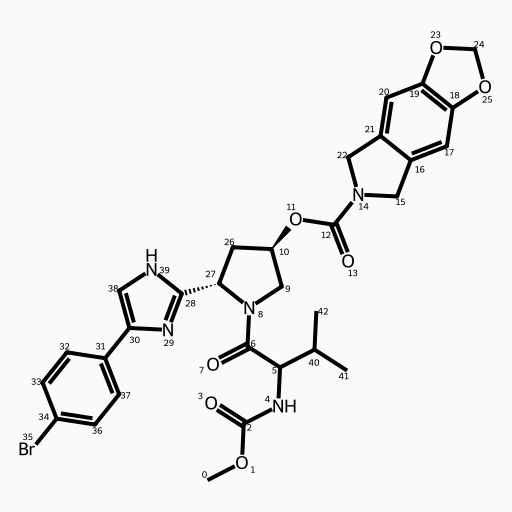 COC(=O)NC(C(=O)N1C[C@H](OC(=O)N2Cc3cc4c(cc3C2)OCO4)C[C@H]1c1nc(-c2ccc(Br)cc2)c[nH]1)C(C)C